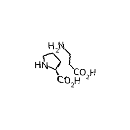 NCCC(=O)O.O=C(O)[C@@H]1CCCN1